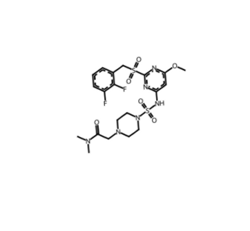 COc1cc(NS(=O)(=O)N2CCN(CC(=O)N(C)C)CC2)nc(S(=O)(=O)Cc2cccc(F)c2F)n1